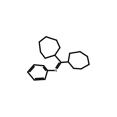 c1ccc(N=C(C2CCCCCC2)C2CCCCCC2)cc1